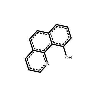 Oc1cccc2ccc3cccnc3c12